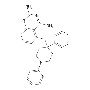 Nc1nc(N)c2c(CC3(c4ccccc4)CCN(c4ccccn4)CC3)cccc2n1